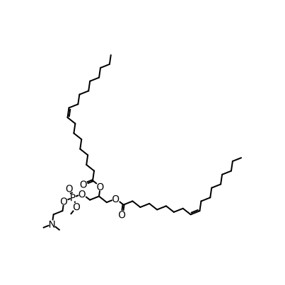 CCCCCCCC/C=C\CCCCCCCC(=O)OCC(COP(=O)(OC)OCCN(C)C)OC(=O)CCCCCCC/C=C\CCCCCCCC